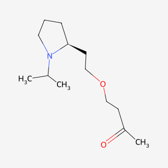 CC(=O)CCOCC[C@@H]1CCCN1C(C)C